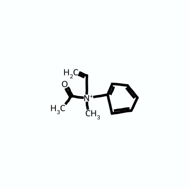 C=C[N+](C)(C(C)=O)c1ccccc1